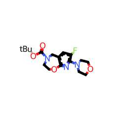 CC(C)(C)OC(=O)N1CCOc2nc(N3CCOCC3)c(F)cc2C1